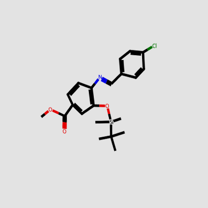 COC(=O)c1ccc(/N=C/c2ccc(Cl)cc2)c(O[Si](C)(C)C(C)(C)C)c1